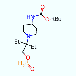 CCC(CC)(CO[PH2]=O)N1CCC(NC(=O)OC(C)(C)C)CC1